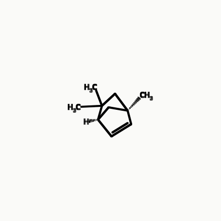 CC1(C)C[C@@]2(C)C=C[C@@H]1C2